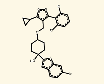 O[C@]1(c2nc3ccc(Br)cc3s2)CC[C@H](OCc2c(-c3c(Cl)cccc3Cl)noc2C2CC2)CC1